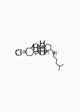 CC(C)CCC[C@@H](C)C1CC[C@H]2[C@@H]3CC=C4C[C@@H](Cl)CCC4(C)[C@H]3CC[C@]12C